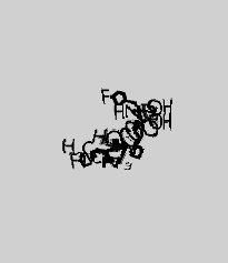 CC(C)(C=C(C#N)C(=O)N1CCC[C@]1(C)COC(=O)N[C@@H](Cc1ccc(F)cc1)B(O)O)N1CC[C@H](F)C1